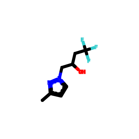 Cc1ccn(CC(O)CC(F)(F)F)n1